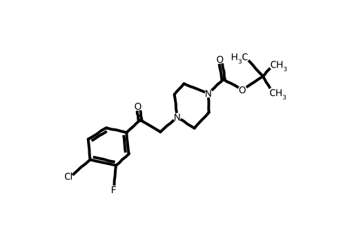 CC(C)(C)OC(=O)N1CCN(CC(=O)c2ccc(Cl)c(F)c2)CC1